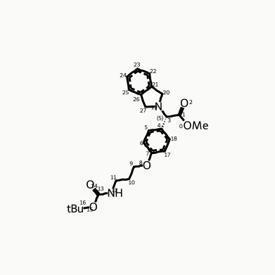 COC(=O)[C@H](c1ccc(OCCCNC(=O)OC(C)(C)C)cc1)N1Cc2ccccc2C1